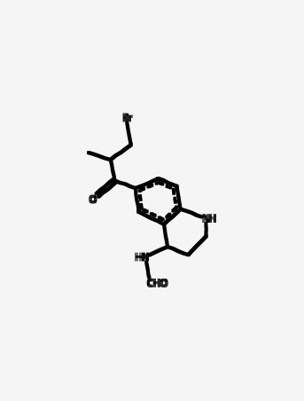 CC(CBr)C(=O)c1ccc2c(c1)C(NC=O)CCN2